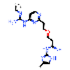 Cc1c[nH]c(NC(=N)CCOCCc2nccc(NC(N)=NCC(F)(F)F)n2)n1